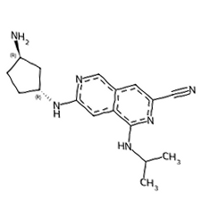 CC(C)Nc1nc(C#N)cc2cnc(N[C@@H]3CC[C@@H](N)C3)cc12